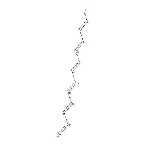 CC=CC=CC=CC=CC=CC=O